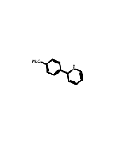 COc1ccc(C2C=CC=CN2)cc1